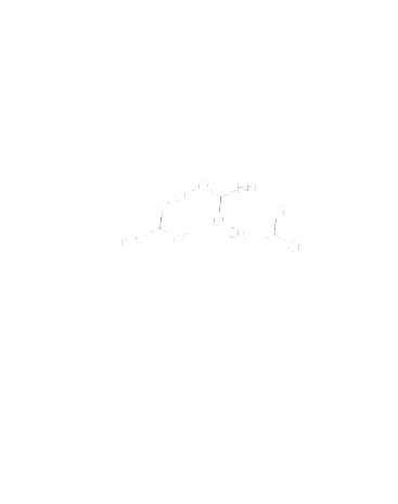 BC([O][Zn][O]C(C(F)(F)F)C(F)(F)F)[O][Zn][O]C(C(F)(F)F)C(F)(F)F